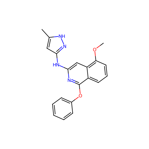 COc1cccc2c(Oc3ccccc3)nc(Nc3cc(C)[nH]n3)cc12